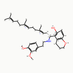 COc1ccc(CCN[C@H](C/C=C(\C)CC/C=C(\C)CCC=C(C)C)c2c(O)ccc3c2CCCO3)cc1OC